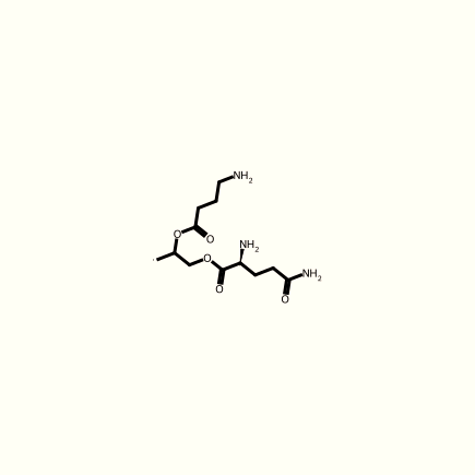 [CH2]C(COC(=O)[C@@H](N)CCC(N)=O)OC(=O)CCCN